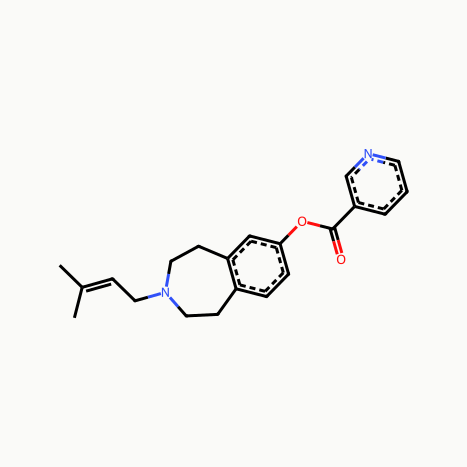 CC(C)=CCN1CCc2ccc(OC(=O)c3cccnc3)cc2CC1